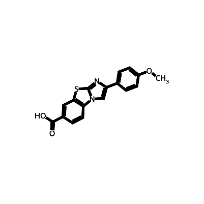 COc1ccc(-c2cn3c(n2)sc2cc(C(=O)O)ccc23)cc1